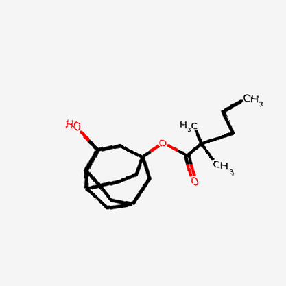 CCCC(C)(C)C(=O)OC12CC3CCC(O)(CC(C3)C1)C2